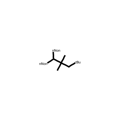 CCCCCCCCC[C](CCCCCCCCC)C(C)(C)CC(C)(C)C